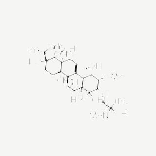 CN[C@@](C)(CO[C@H]1[C@H](OC)C[C@]2(CO)C3=CC[C@@]4(C)[C@H](C(=O)O)[C@@](C)([C@H](C)C(C)C)CC[C@]4(C)[C@H]3CC[C@H]2C1(C)C)C(C)(C)C